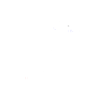 CCNC[C@@H]1CCN(CCOC2=CC(C)C(/C(=C(/CCCO)c3ccccc3)c3ccc(O)cc3)C=C2)C1